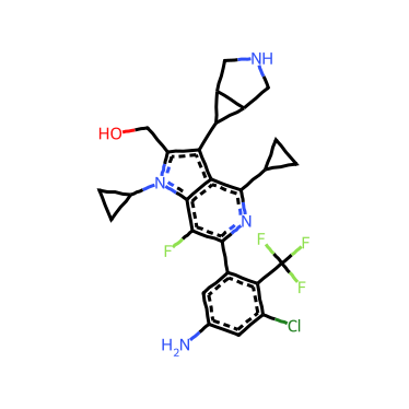 Nc1cc(Cl)c(C(F)(F)F)c(-c2nc(C3CC3)c3c(C4C5CNCC54)c(CO)n(C4CC4)c3c2F)c1